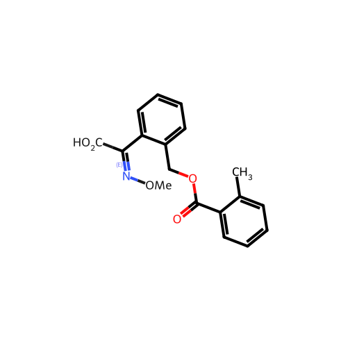 CO/N=C(/C(=O)O)c1ccccc1COC(=O)c1ccccc1C